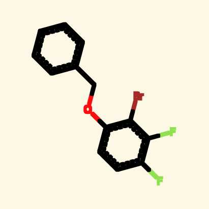 Fc1ccc(OCc2ccccc2)c(Br)c1F